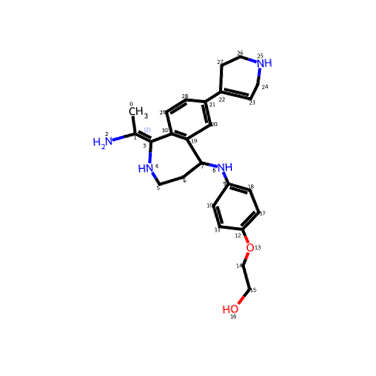 C/C(N)=C1/NCCC(Nc2ccc(OCCO)cc2)c2cc(C3=CCNCC3)ccc21